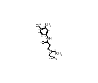 CCN(CC)CCC(=O)Nc1ccc(Cl)c(C)c1